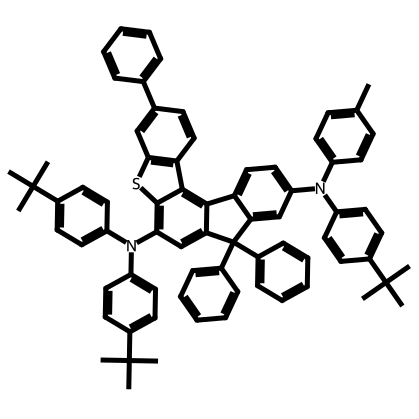 Cc1ccc(N(c2ccc(C(C)(C)C)cc2)c2ccc3c(c2)C(c2ccccc2)(c2ccccc2)c2cc(N(c4ccc(C(C)(C)C)cc4)c4ccc(C(C)(C)C)cc4)c4sc5cc(-c6ccccc6)ccc5c4c2-3)cc1